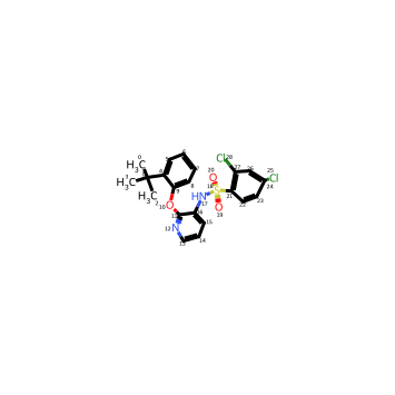 CC(C)(C)c1ccccc1Oc1ncccc1NS(=O)(=O)c1ccc(Cl)cc1Cl